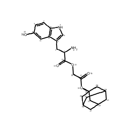 NC(Cc1c[nH]c2ccc(O)cc12)C(=O)OCC(=O)OC12CC3CC(CC(C3)C1)C2